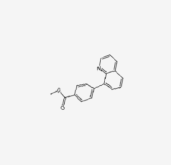 COC(=O)c1ccc(-c2cccc3cccnc23)cc1